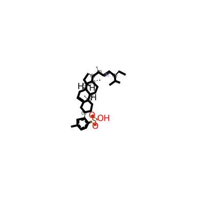 CC[C@H](/C=C/[C@@H](C)[C@H]1CC[C@H]2[C@@H]3CC=C4C[C@@H](c5cc(C)ccc5S(=O)(=O)O)CC[C@]4(C)[C@H]3CC[C@]12C)C(C)C